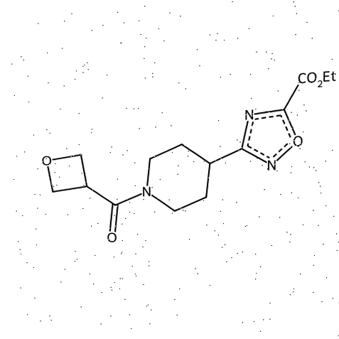 CCOC(=O)c1nc(C2CCN(C(=O)C3COC3)CC2)no1